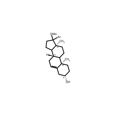 COC1(C(C)=O)CCC2[C@H]3CC=C4C[C@@H](O)CC[C@]4(C)C3CC[C@@]21C